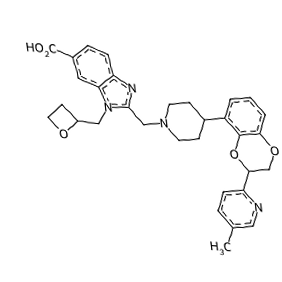 Cc1ccc(C2COc3cccc(C4CCN(Cc5nc6ccc(C(=O)O)cc6n5CC5CCO5)CC4)c3O2)nc1